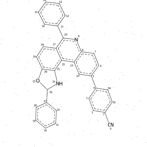 N#Cc1ccc(-c2ccc3nc(-c4ccccc4)c4ccc5c(c4c3c2)NC(c2ccccc2)O5)cc1